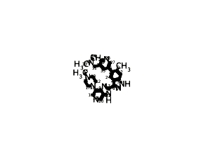 Cc1cc2[nH]nc(-c3nc4c(N5CCN(C)CC5)cncc4[nH]3)c2cc1-c1cncc(CN(C)C)c1